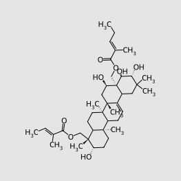 C/C=C(\C)C(=O)OC[C@]1(C)C2CC[C@]3(C)C(CC=C4C5CC(C)(C)[C@@H](O)[C@H](O)[C@]5(COC(=O)/C(C)=C/CC)[C@H](O)C[C@]43C)[C@@]2(C)CC[C@@H]1O